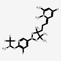 CC1=CC(Cl)=C/C(=C/CCC2(C)OB(c3cnc(O[C@@H](C)C(F)(F)F)c(F)c3)OC2(C)C)N1N